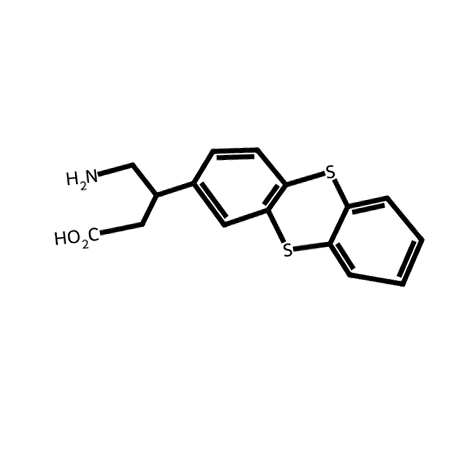 NCC(CC(=O)O)c1ccc2c(c1)Sc1ccccc1S2